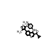 Cc1noc(C)c1-c1ccc2ncc(C(=O)C3CC3)c(NC3CCC(N)CC3)c2c1